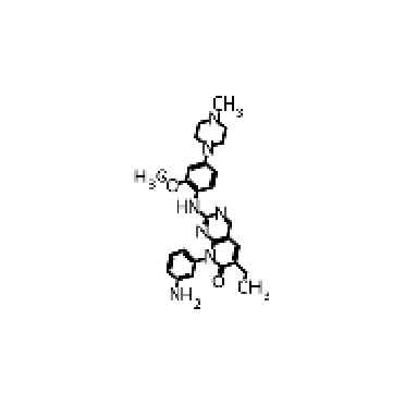 CCc1cc2cnc(Nc3ccc(N4CCN(C)CC4)cc3OC)nc2n(-c2cccc(N)c2)c1=O